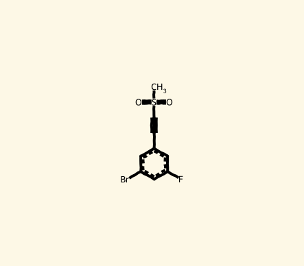 CS(=O)(=O)C#Cc1cc(F)cc(Br)c1